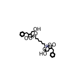 O=C(O)CC1=C(Cc2ccccc2)C(=O)OC1=NCCCCCC/N=C1\OC(=O)C(Cc2ccccc2)=C1CC(=O)O